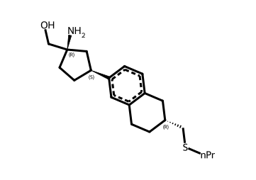 CCCSC[C@@H]1CCc2cc([C@H]3CC[C@](N)(CO)C3)ccc2C1